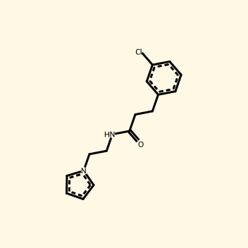 O=C(CCc1cccc(Cl)c1)NCCn1cccc1